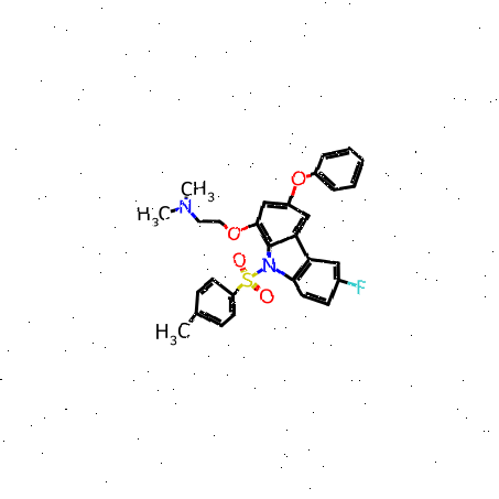 Cc1ccc(S(=O)(=O)n2c3ccc(F)cc3c3cc(Oc4ccccc4)cc(OCCN(C)C)c32)cc1